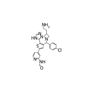 NCCC1CN(C(c2ccc(Cl)cc2)c2cc(-c3ccnc(NC=O)c3)sc2-c2nnc[nH]2)C1